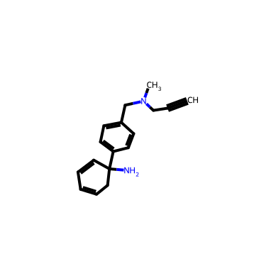 C#CCN(C)Cc1ccc(C2(N)C=CC=CC2)cc1